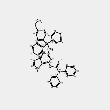 COc1ccc(C(Nc2nc(OC(=O)N(c3ccccc3)c3ccccc3)c3[nH][c]nc3n2)(c2ccccc2)c2ccccc2)cc1